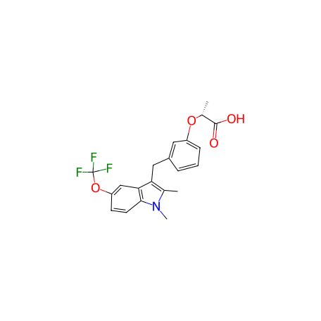 Cc1c(Cc2cccc(O[C@H](C)C(=O)O)c2)c2cc(OC(F)(F)F)ccc2n1C